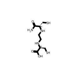 NC(=O)[C@H](CS)NCCN[C@@H](CS)C(=O)O